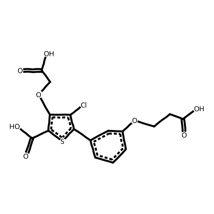 O=C(O)CCOc1cccc(-c2sc(C(=O)O)c(OCC(=O)O)c2Cl)c1